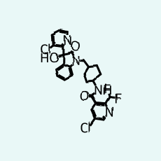 O=C(NC1CCC(CN2C(=O)C(O)(c3ncccc3Cl)c3ccccc32)CC1)c1cc(Cl)cnc1C(F)F